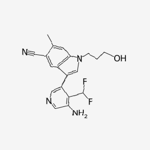 Cc1cc2c(cc1C#N)c(-c1cncc(N)c1C(F)F)cn2CCCO